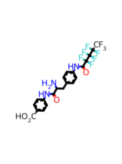 NC(Cc1ccc(NC(=O)C(F)(F)C(F)(F)C(F)(F)C(F)(F)F)cc1)C(=O)Nc1ccc(C(=O)O)cc1